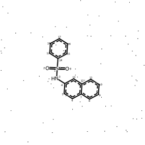 O=S(=O)(Nc1ccc2ccccc2c1)c1cc[c]cc1